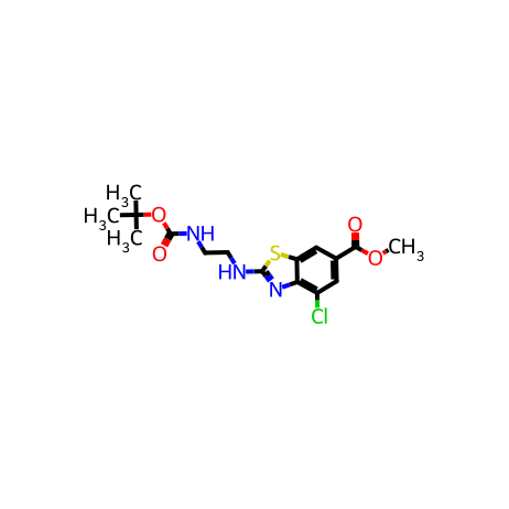 COC(=O)c1cc(Cl)c2nc(NCCNC(=O)OC(C)(C)C)sc2c1